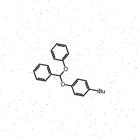 CCC(C)c1ccc(OC(Oc2ccccc2)c2ccccc2)cc1